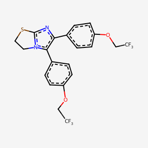 FC(F)(F)COc1ccc(-c2nc3n(c2-c2ccc(OCC(F)(F)F)cc2)CCS3)cc1